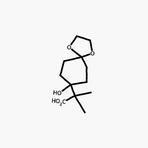 CC(C)(C(=O)O)C1(O)CCC2(CC1)OCCO2